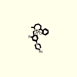 CC(=O)N1CCN(c2ccc(CN3C(C)CCCC(c4ccccc4)S3(=O)=O)c(F)c2)CC1